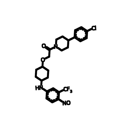 O=Nc1ccc(NC2CCC(OCC(=O)N3CCC(c4ccc(Cl)cc4)CC3)CC2)cc1C(F)(F)F